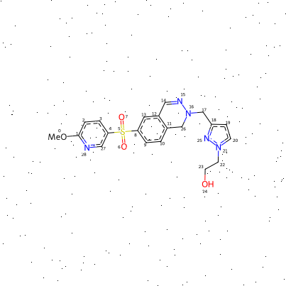 COc1ccc(S(=O)(=O)c2ccc3c(c2)C=NN(Cc2ccn(CCO)n2)C3)cn1